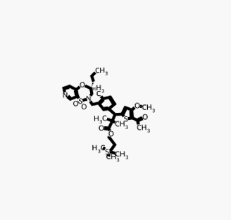 CCC[C@@H]1CN(Cc2cc(C(c3cc(OC)c(C(C)=O)s3)C(C)(C)C(=O)OCC[Si](C)(C)C)ccc2C)S(=O)(=O)c2cnccc2O1